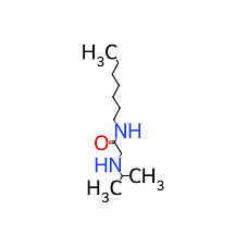 CCCCCCCNC(=O)CNC(C)C